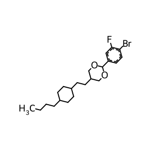 CCCCC1CCC(CCC2COC(c3ccc(Br)c(F)c3)OC2)CC1